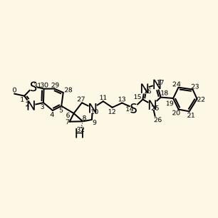 Cc1nc2cc(C34C[C@@H]3CN(CCCSc3nnc(-c5ccccc5)n3C)C4)ccc2s1